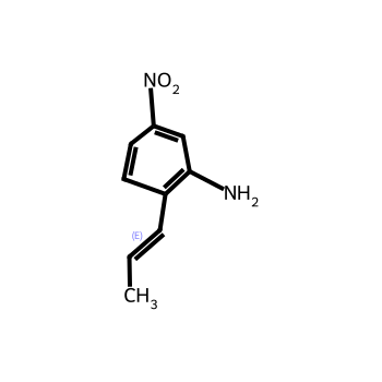 C/C=C/c1ccc([N+](=O)[O-])cc1N